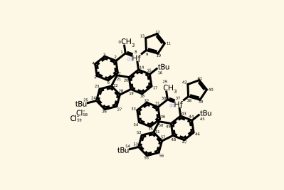 C/[C](c1ccccc1)=[Hf](\[C]1=CC=CC1)[c]1c(C(C)(C)C)ccc2c1Cc1cc(C(C)(C)C)ccc1-2.C/[C](c1ccccc1)=[Hf](\[C]1=CC=CC1)[c]1c(C(C)(C)C)ccc2c1Cc1cc(C(C)(C)C)ccc1-2.[Cl-].[Cl-]